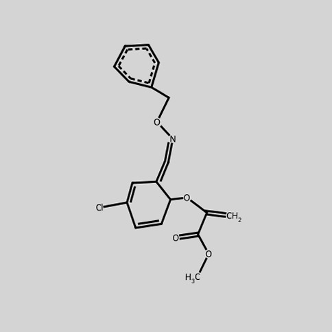 C=C(OC1C=CC(Cl)=CC1=C=NOCc1ccccc1)C(=O)OC